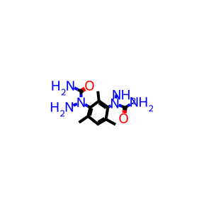 Cc1cc(C)c(N(N)C(N)=O)c(C)c1N(N)C(N)=O